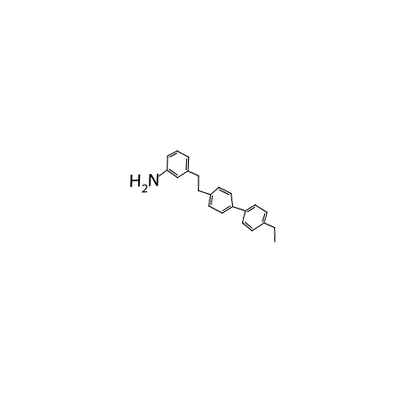 CCc1ccc(-c2ccc(CCc3cccc(N)c3)cc2)cc1